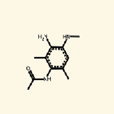 CNc1cc(C)c(NC(C)=O)c(C)c1N